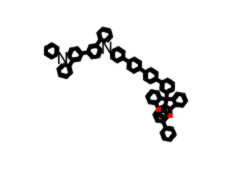 c1ccc(-c2ccc(-c3ccccc3C3(c4cccc(-c5ccc(-c6ccc(-c7ccc(-n8c9ccccc9c9cc(-c%10ccc%11c(c%10)c%10ccccc%10n%11-c%10ccccc%10)ccc98)cc7)cc6)cc5)c4)c4ccccc4-c4ccccc43)cc2)cc1